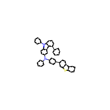 c1ccc(-c2cccc3c2c2cc(N(c4ccccc4)c4ccc(-c5ccc6c(c5)sc5ccccc56)cc4)ccc2n3-c2ccccc2)cc1